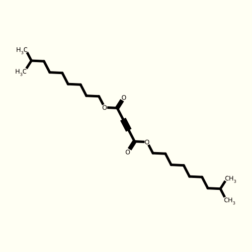 CC(C)CCCCCCCOC(=O)C#CC(=O)OCCCCCCCC(C)C